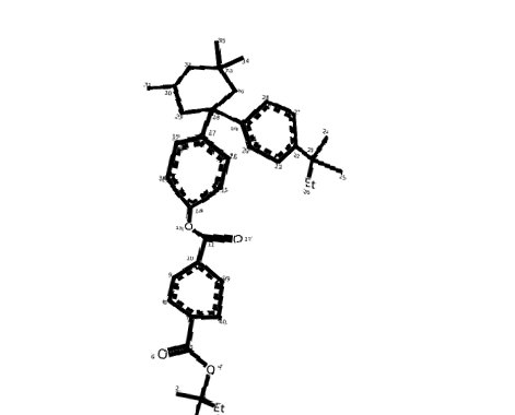 CCC(C)(C)OC(=O)c1ccc(C(=O)Oc2ccc(C3(c4ccc(C(C)(C)CC)cc4)CC(C)CC(C)(C)C3)cc2)cc1